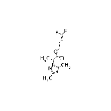 Cc1cc(C)n(C(C)C(=O)OCCC=C(F)F)n1